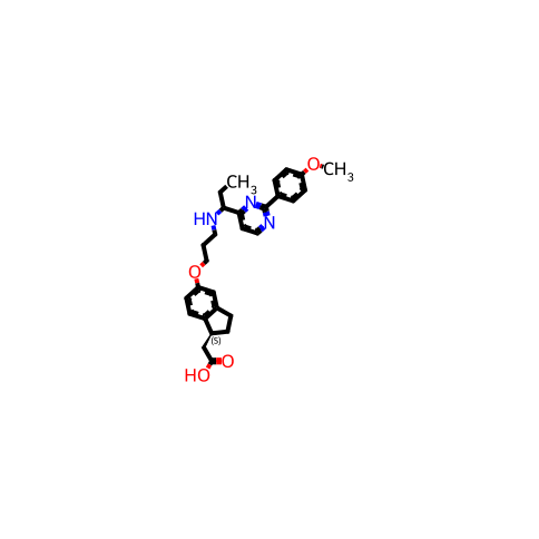 CCC(NCCCOc1ccc2c(c1)CC[C@H]2CC(=O)O)c1ccnc(-c2ccc(OC)cc2)n1